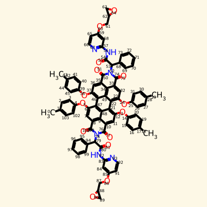 Cc1ccc(Oc2cc3c4c(cc(Oc5ccc(C)cc5)c5c6c(Oc7ccc(C)cc7)cc7c8c(cc(Oc9ccc(C)cc9)c(c2c45)c86)C(=O)N(C(C(=O)Nc2cc(OCC4CO4)ccn2)c2ccccc2)C7=O)C(=O)N(C(C(=O)Nc2cc(OCC4CO4)ccn2)c2ccccc2)C3=O)cc1